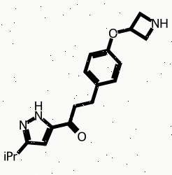 CC(C)c1cc(C(=O)CCc2ccc(OC3CNC3)cc2)[nH]n1